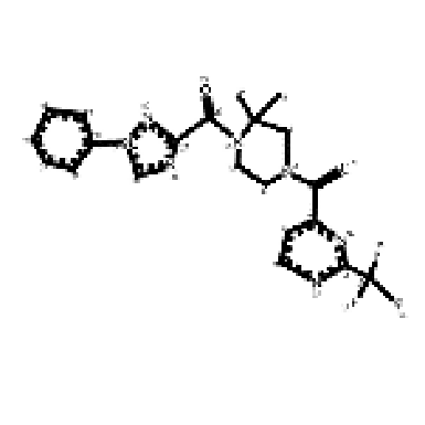 CC1(C)CN(C(=O)c2ccnc(C(F)(F)F)n2)CCN1C(=O)c1ncn(-c2ccccc2)n1